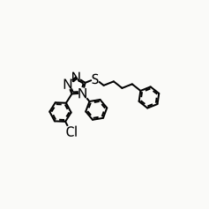 Clc1cccc(-c2nnc(SCCCCc3ccccc3)n2-c2ccccc2)c1